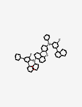 Fc1cc(-c2cccc3ccccc23)cc(N(c2ccccc2)c2ccc3c(c2)Sc2cccc4c(N(c5ccccc5)c5c(F)cc(-c6ccccc6)cc5-c5ccccc5)ccc-3c24)c1